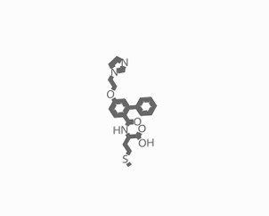 CSCCC(NC(=O)c1ccc(OCCn2ccnc2)cc1-c1ccccc1)C(=O)O